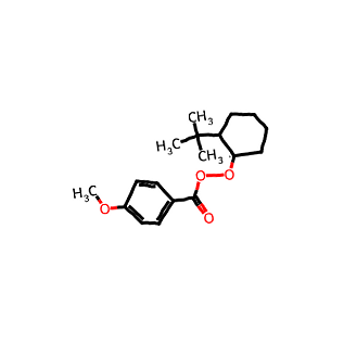 COc1ccc(C(=O)OO[C]2CCCCC2C(C)(C)C)cc1